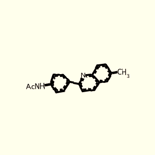 CC(=O)Nc1ccc(-c2ccc3cc(C)ccc3n2)cc1